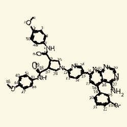 COc1ccc(NC(=O)C2CN(c3ccc(-c4cc(-c5cccc(Br)c5)c5c(N)ncnc5n4)cn3)CC2C(=O)Nc2ccc(OC)cc2)cc1